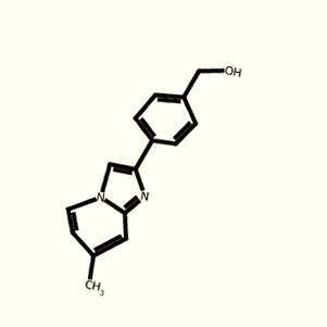 Cc1ccn2cc(-c3ccc(CO)cc3)nc2c1